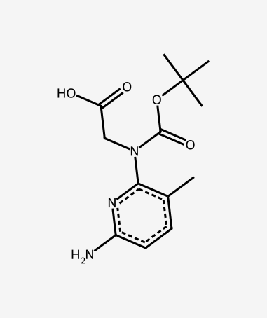 Cc1ccc(N)nc1N(CC(=O)O)C(=O)OC(C)(C)C